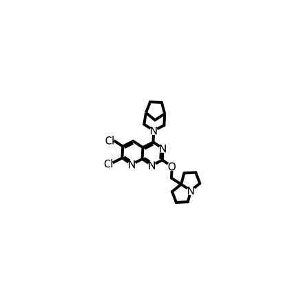 Clc1cc2c(N3CC4CCC(C4)C3)nc(OCC34CCCN3CCC4)nc2nc1Cl